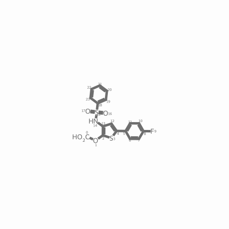 O=C(O)Oc1sc(-c2ccc(F)cc2)cc1NS(=O)(=O)c1ccccc1